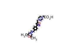 CC1CN(N=Cc2ccc(-c3cc(CN4CCN(CC(=O)O)CC4)on3)cc2)CC(C)O1